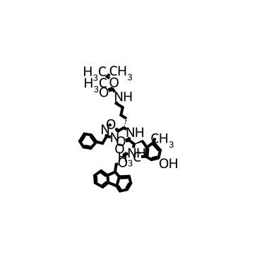 Cc1cc(O)cc(C)c1C[C@@H](NC(=O)OCC1c2ccccc2-c2ccccc21)C(=O)N[C@@H](CCCCNC(=O)OC(C)(C)C)c1nc(Cc2ccccc2)no1